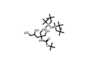 CC(C)(C)C[Si](C)(O[Si](C)(CC(C)(C)C)C(C)(C)C)C(C)(C)C.CC(C)(C)OC(=O)NC(CO)(CO)CC(O)CO